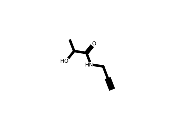 C#CCNC(=O)C(C)O